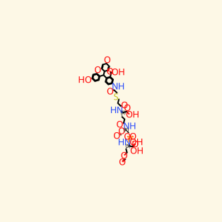 O=COCC[C@H](NP(=O)(O)OC[C@H](NC(=O)CC[C@H](NC(=O)CCSCC(=O)Nc1ccc(C2c3ccc(O)cc3OC3=CC(=O)C=CC32)c(C(=O)O)c1)C(=O)O)OC=O)C(=O)O